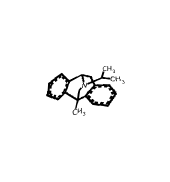 CC(C)N1CC2(C)c3ccccc3CC1c1ccccc12